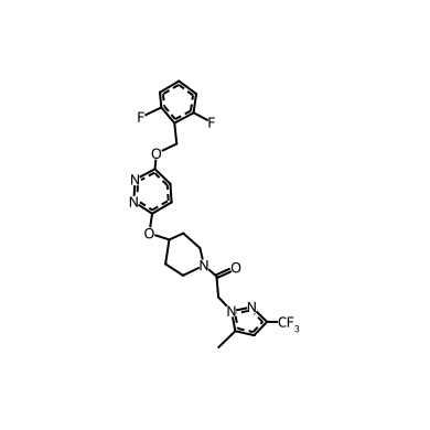 Cc1cc(C(F)(F)F)nn1CC(=O)N1CCC(Oc2ccc(OCc3c(F)cccc3F)nn2)CC1